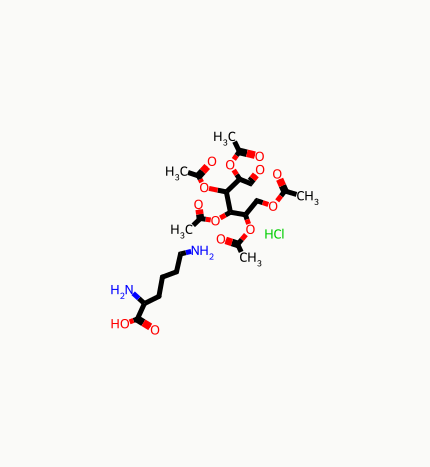 CC(=O)OCC(OC(C)=O)C(OC(C)=O)C(OC(C)=O)C(C=O)OC(C)=O.Cl.NCCCCC(N)C(=O)O